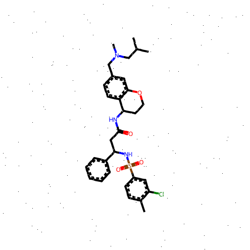 Cc1ccc(S(=O)(=O)NC(CC(=O)NC2CCOc3cc(CN(C)CC(C)C)ccc32)c2ccccc2)cc1Cl